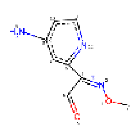 CO/N=C(\[C]=O)c1cc(N)ccn1